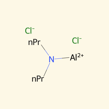 CCC[N]([Al+2])CCC.[Cl-].[Cl-]